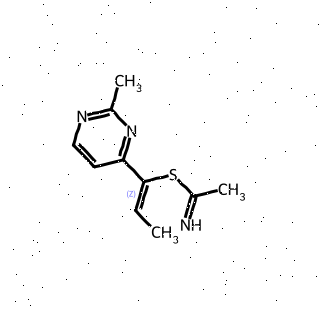 C/C=C(\SC(C)=N)c1ccnc(C)n1